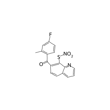 Cc1cc(F)ccc1C(=O)c1ccc2cccnc2c1S[N+](=O)[O-]